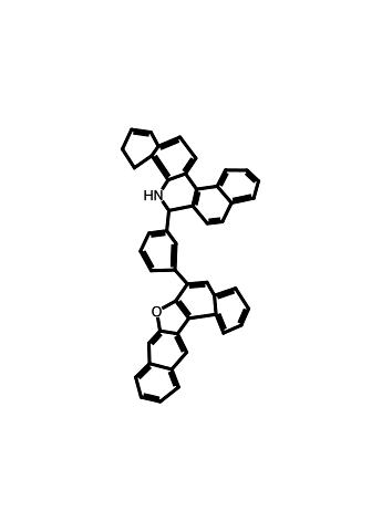 C1=Cc2ccc3c(c2CC1)NC(c1cccc(-c2cc4ccccc4c4c2oc2cc5ccccc5cc24)c1)c1ccc2ccccc2c1-3